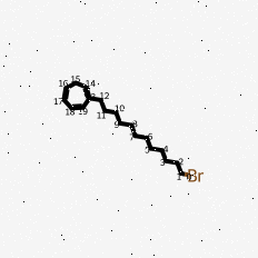 BrCCCCCCCCCCCCC1=CCC=CC=C1